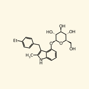 CCc1ccc(Cc2c(C)[nH]c3cccc(O[C@@H]4O[C@H](CO)[C@@H](O)[C@H](O)[C@H]4O)c23)cc1